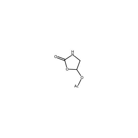 CC(=O)OC1CNC(=O)O1